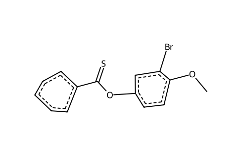 COc1ccc(OC(=S)c2ccccc2)cc1Br